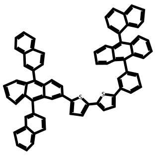 c1cc(-c2ccc(-c3ccc(-c4ccc5c(-c6ccc7ccccc7c6)c6ccccc6c(-c6ccc7ccccc7c6)c5c4)s3)s2)cc(-c2c3ccccc3c(-c3cccc4ccccc34)c3ccccc23)c1